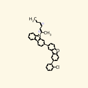 C=C/C=C\C=C(/C)n1c2ccccc2c2ccc(-c3ccc4oc5ccc(-c6ccccc6Cl)cc5c4c3)cc21